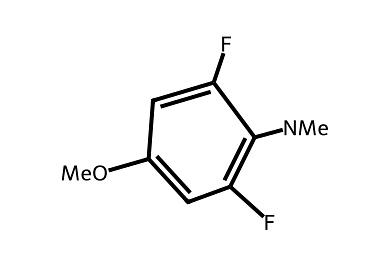 CNc1c(F)cc(OC)cc1F